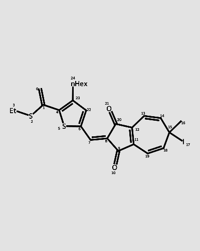 C=C(SCC)c1sc(C=C2C(=O)C3=C(C=CC(C)(I)C=C3)C2=O)cc1CCCCCC